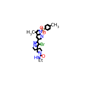 CCNC(=O)N1CCC2(CCn3nc(-c4cnc5c(c4)c(C)cn5S(=O)(=O)c4ccc(C)cc4)c(Br)c32)C1